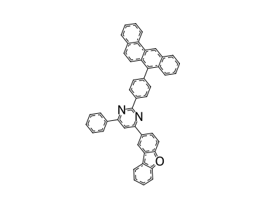 c1ccc(-c2cc(-c3ccc4oc5ccccc5c4c3)nc(-c3ccc(-c4c5ccccc5cc5c4ccc4ccccc45)cc3)n2)cc1